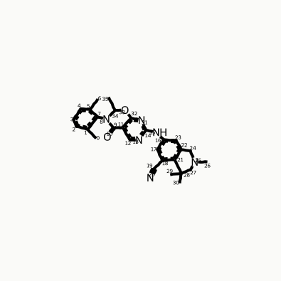 Cc1cccc(C)c1N1C(=O)c2cnc(Nc3cc(C#N)c4c(c3)CN(C)CC4(C)C)nc2OC1C